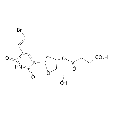 O=C(O)CCC(=O)OC1C[C@@H](n2cc(/C=C/Br)c(=O)[nH]c2=O)O[C@H]1CO